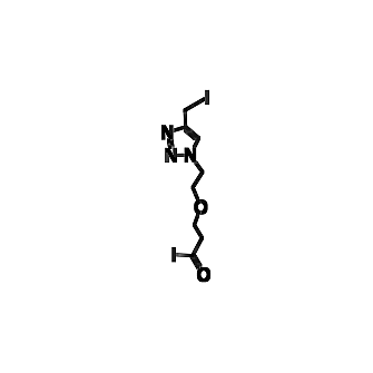 O=C(I)CCOCCn1cc(CI)nn1